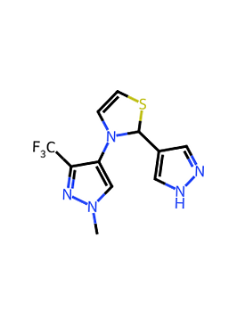 Cn1cc(N2C=CSC2c2cn[nH]c2)c(C(F)(F)F)n1